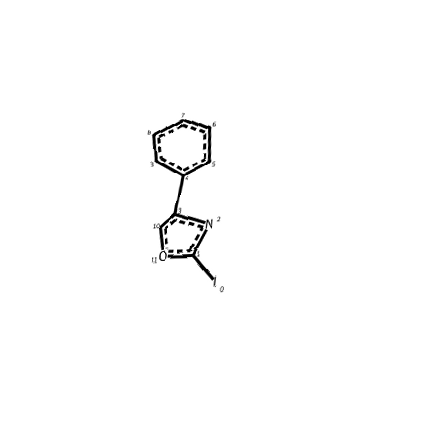 Ic1nc(-c2ccccc2)co1